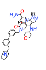 CCc1nc2c(cnn2CC)c(NC2CCOCC2)c1CN(Cc1cccc(-c2cccc(CC3CC4CCC(C3)N4C)c2)c1)C(=O)c1cccc(C(N)=O)c1